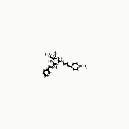 CCC1(N)N=C(NCCCN2CCN(C)CC2)N=C(NCc2cccnc2)N1